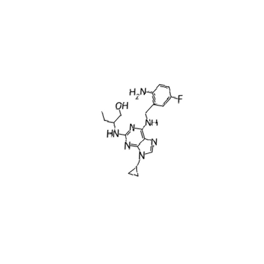 CCC(CO)Nc1nc(NCc2cc(F)ccc2N)c2ncn(C3CC3)c2n1